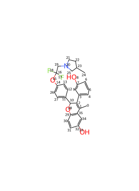 CC1=C(c2cccc(O)c2)C(c2ccc(OC(F)(F)CN3CCC(C)C3)cc2)Oc2ccc(O)cc21